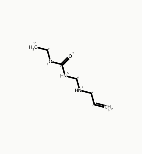 C=CCNCNC(=O)OCC